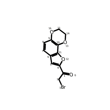 O=C(CBr)c1cc2ccc3c(c2o1)OCCO3